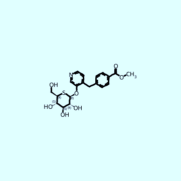 COC(=O)c1ccc(Cc2ccncc2O[C@@H]2S[C@H](CO)[C@@H](O)[C@H](O)[C@H]2O)cc1